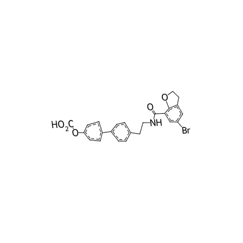 O=C(O)Oc1ccc(-c2ccc(CCNC(=O)c3cc(Br)cc4c3OCC4)cc2)cc1